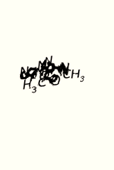 C[C@@H](Oc1cc(-c2cnn(C)c2)cc2ncnc(Nc3ccc4ncccc4c3F)c12)[C@H]1CCOC1